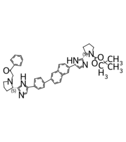 CC(C)(C)OC(=O)N1CCC[C@H]1c1ncc(-c2ccc3cc(-c4ccc(-c5cnc([C@@H]6CCCN6CC(=O)c6ccccc6)[nH]5)cc4)ccc3c2)[nH]1